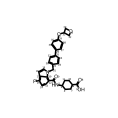 O=C(NC1CCC(C(=O)O)CC1)c1ccc(F)c2ccn(Cc3ccc(-c4ccc(OC5COC5)cc4)cc3)c12